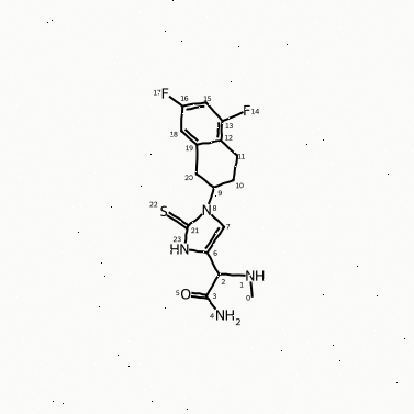 CNC(C(N)=O)c1cn(C2CCc3c(F)cc(F)cc3C2)c(=S)[nH]1